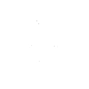 O=C(C=Cc1cccs1)C1C(=O)COC2=C1CC1=CCCN3CCCC2=C13